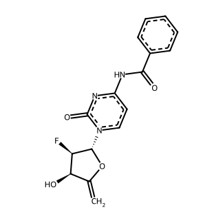 C=C1O[C@@H](n2ccc(NC(=O)c3ccccc3)nc2=O)[C@H](F)[C@@H]1O